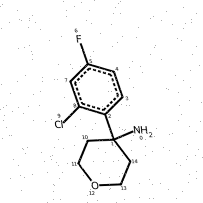 NC1(c2ccc(F)cc2Cl)CCOCC1